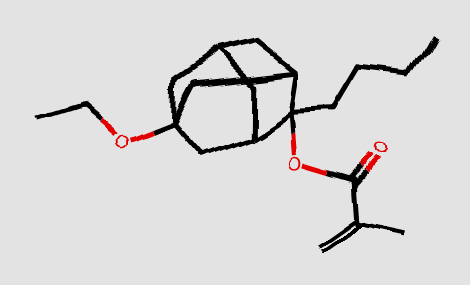 C=C(C)C(=O)OC1(CCCC)C2CC3CC1CC(OCC)(C3)C2